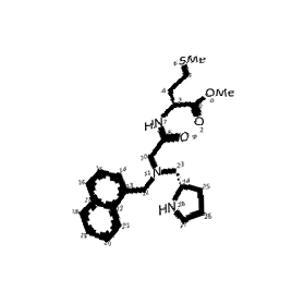 COC(=O)[C@H](CCSC)NC(=O)CN(Cc1cccc2ccccc12)C[C@@H]1CCCN1